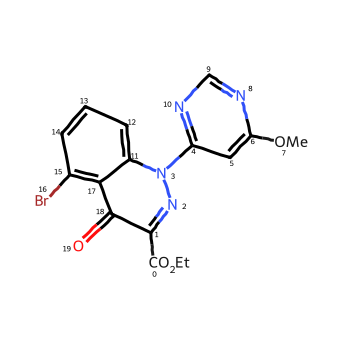 CCOC(=O)c1nn(-c2cc(OC)ncn2)c2cccc(Br)c2c1=O